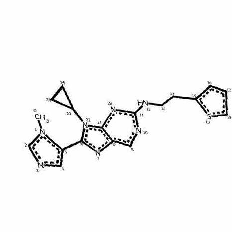 Cn1cncc1-c1nc2cnc(NCCc3cccs3)nc2n1C1CC1